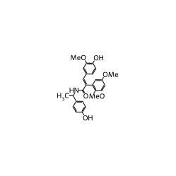 COc1ccc(OC)c(/C(=C\c2ccc(O)c(OC)c2)C(=O)NC(C)c2ccc(O)cc2)c1